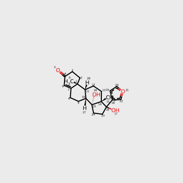 C[C@]12CCC(=O)C=C1CC[C@@H]1[C@H]2CC[C@]2(C)C(O)(c3ccoc3)CC[C@@]12O